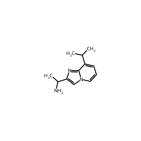 CC(C)c1cccn2cc(C(C)N)nc12